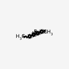 CCCCC1CCC(c2ccc(-c3ccc(C4CCC(CC)CC4)cc3F)nc2)CC1